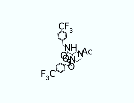 CC(=O)N1CCN(S(=O)(=O)c2ccc(C(F)(F)F)cc2)C(C(=O)NCc2ccc(C(F)(F)F)cc2)C1